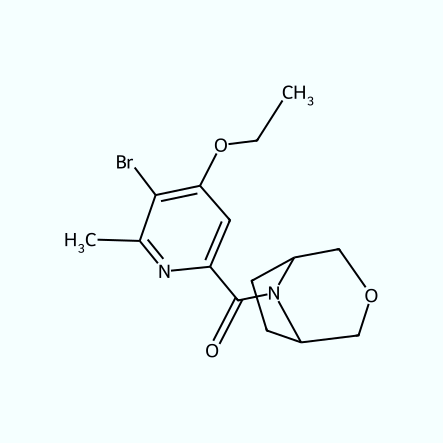 CCOc1cc(C(=O)N2C3CCC2COC3)nc(C)c1Br